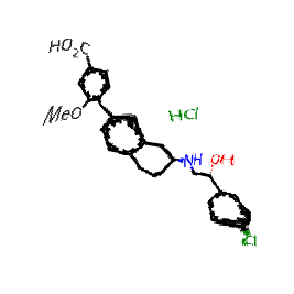 COc1cc(C(=O)O)ccc1-c1ccc2c(c1)C[C@@H](NC[C@H](O)c1ccc(Cl)cc1)CC2.Cl